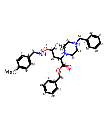 COc1ccc(CNOC(C=O)CC(C(=O)OCc2ccccc2)N2CCN(Cc3ccccc3)CC2)cc1